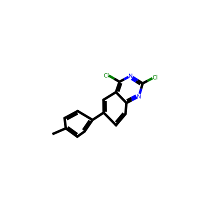 Cc1ccc(-c2ccc3nc(Cl)nc(Cl)c3c2)cc1